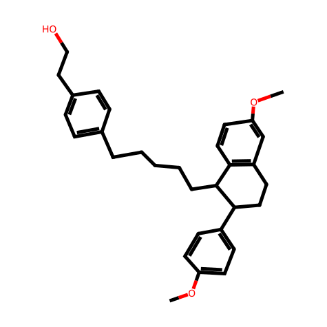 COc1ccc(C2CCc3cc(OC)ccc3C2CCCCCc2ccc(CCO)cc2)cc1